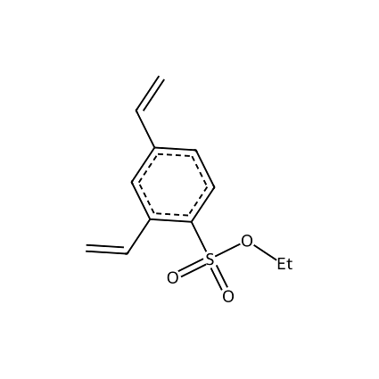 C=Cc1ccc(S(=O)(=O)OCC)c(C=C)c1